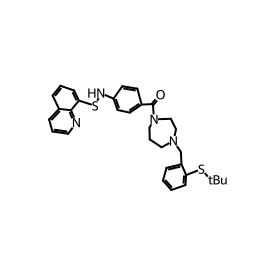 CC(C)(C)Sc1ccccc1CN1CCCN(C(=O)c2ccc(NSc3cccc4cccnc34)cc2)CC1